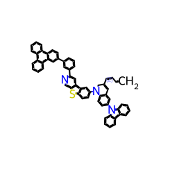 C=C/C=C\C1=Cc2cc(-n3c4ccccc4c4ccccc43)ccc2N(c2ccc3sc4cnc(-c5cccc(-c6ccc7c8ccccc8c8ccccc8c7c6)c5)cc4c3c2)C1